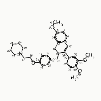 COc1ccc2c(c1)CC(Cc1ccc(OCCN3CCCCC3)cc1)C(c1ccc(OC)c(OC)c1)=C2